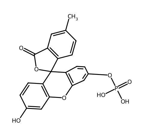 Cc1ccc2c(c1)C(=O)OC21c2ccc(O)cc2Oc2cc(OP(=O)(O)O)ccc21